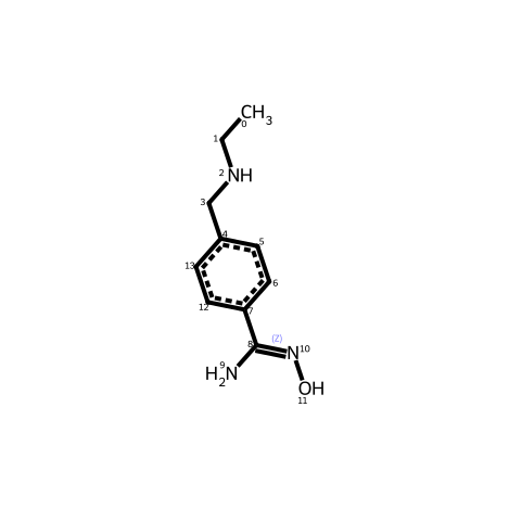 CCNCc1ccc(/C(N)=N/O)cc1